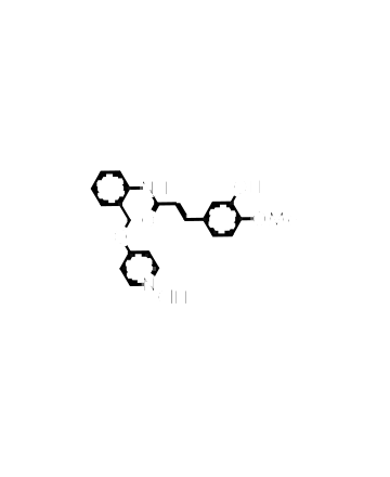 COc1ccc(C=CC(=O)Nc2ccccc2COc2ccncc2)cc1O.Cl